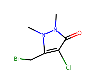 Cn1c(CBr)c(Cl)c(=O)n1C